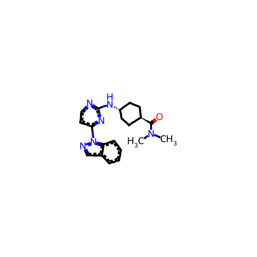 CN(C)C(=O)[C@H]1CC[C@H](Nc2nccc(-n3ncc4ccccc43)n2)CC1